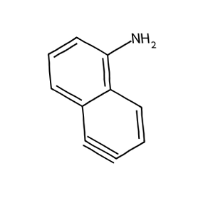 Nc1cccc2c#cccc12